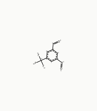 O=Cc1cc(N=O)cc(C(F)(F)F)c1